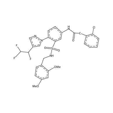 COc1ccc(CNS(=O)(=O)c2cc(NC(=O)Cc3ccccc3Cl)ccc2-n2cc(C(F)C(F)F)cn2)c(OC)c1